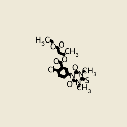 CCOC(=O)CC(C)OC(=O)c1cc(-n2c(=O)n(C)c(=S)n(C)c2=O)ccc1Cl